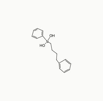 O[Si](O)(CCCCc1ccccc1)c1ccccc1